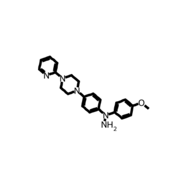 COc1ccc(N(N)c2ccc(N3CCN(c4ccccn4)CC3)cc2)cc1